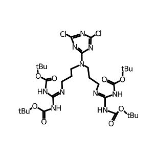 CC(C)(C)OC(=O)NC(=NCCCN(CCCN=C(NC(=O)OC(C)(C)C)NC(=O)OC(C)(C)C)c1nc(Cl)nc(Cl)n1)NC(=O)OC(C)(C)C